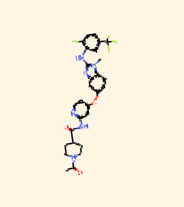 CC(=O)N1CCC(C(=O)Nc2cc(Oc3ccc4c(c3)nc(Nc3cc(C(F)(F)F)ccc3F)n4C)ccn2)CC1